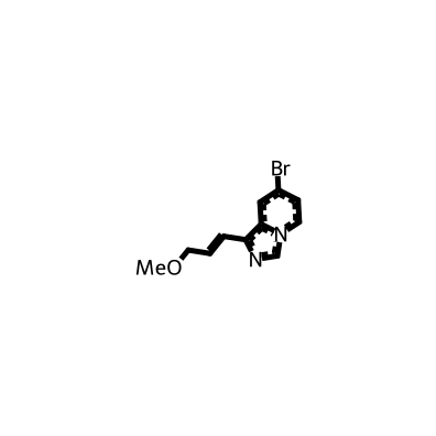 COCC=Cc1ncn2ccc(Br)cc12